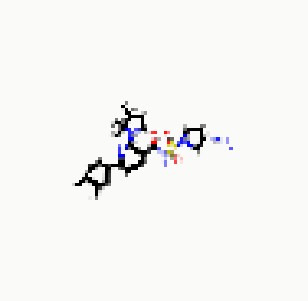 Cc1ccc(-c2ccc(C(=O)NS(=O)(=O)N3CC[C@H](N)C3)c(N3CCC(C)C3(C)C)n2)cc1C